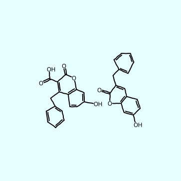 O=C(O)c1c(Cc2ccccc2)c2ccc(O)cc2oc1=O.O=c1oc2cc(O)ccc2cc1Cc1ccccc1